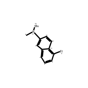 CCc1cccc2cc(N(C)C(C)(C)C)ccc12